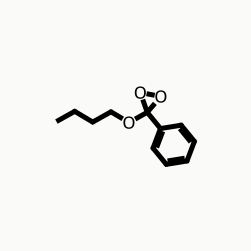 CCCCOC1(c2ccccc2)OO1